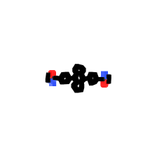 c1ccc2c(-c3ccc(C4=NCCO4)cc3)c3ccccc3c(-c3ccc(C4=NCCO4)cc3)c2c1